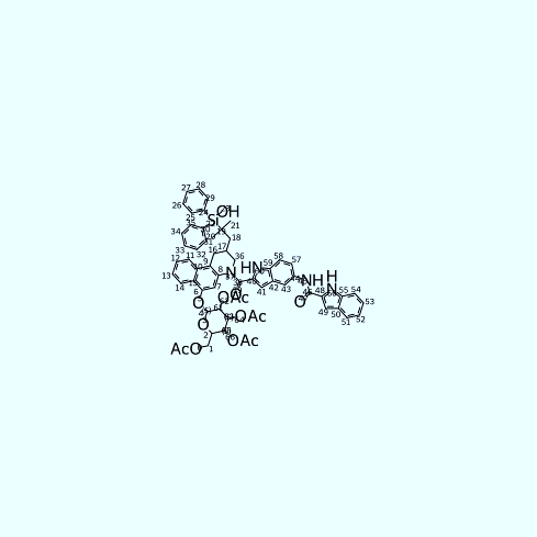 CC(=O)OCC1O[C@@H](Oc2cc3c(c4ccccc24)CC(CC(C)(C)[Si](O)(c2ccccc2)c2ccccc2)CN3C(=O)c2cc3cc(NC(=O)c4cc5ccccc5[nH]4)ccc3[nH]2)C(OC(C)=O)[C@@H](OC(C)=O)[C@H]1OC(C)=O